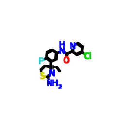 CC[C@@]1(c2cc(NC(=O)c3cc(Cl)ccn3)ccc2F)CCSC(N)=N1